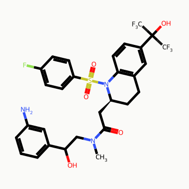 CN(CC(O)c1cccc(N)c1)C(=O)C[C@@H]1CCc2cc(C(O)(C(F)(F)F)C(F)(F)F)ccc2N1S(=O)(=O)c1ccc(F)cc1